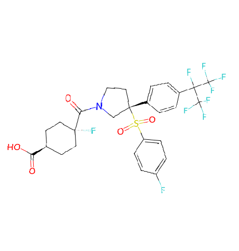 O=C(O)[C@H]1CC[C@@](F)(C(=O)N2CC[C@](c3ccc(C(F)(C(F)(F)F)C(F)(F)F)cc3)(S(=O)(=O)c3ccc(F)cc3)C2)CC1